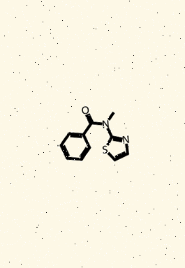 CN(C(=O)c1c[c]ccc1)c1nccs1